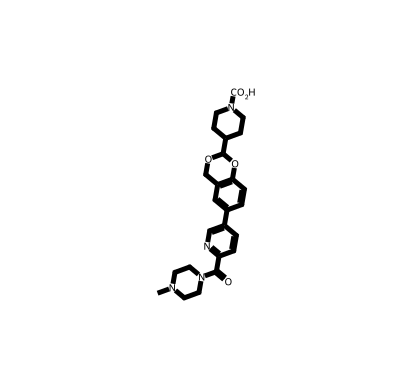 CN1CCN(C(=O)c2ccc(-c3ccc4c(c3)COC(C3CCN(C(=O)O)CC3)O4)cn2)CC1